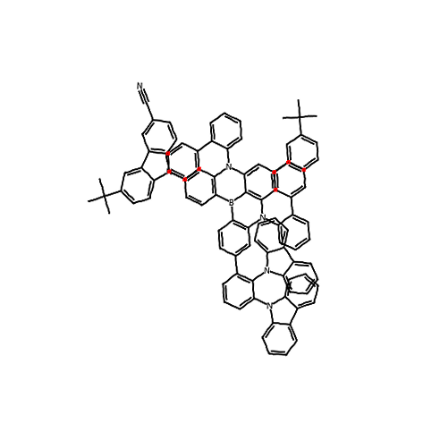 CC(C)(C)c1cccc(-c2cc3c4c(c2)N(c2ccccc2-c2ccccc2)c2cc(-n5c6ccc(C#N)cc6c6cc(C(C)(C)C)ccc65)ccc2B4c2ccc(-c4cccc(-n5c6ccccc6c6ccccc65)c4-n4c5ccccc5c5ccccc54)cc2N3c2ccccc2-c2ccccc2)c1